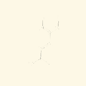 N=C(N)N=NC(=NCl)NCl